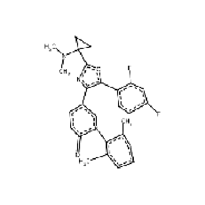 Cc1cccc(C)c1-n1cc(-c2nc(C3(N(C)C)CC3)oc2-c2ccc(F)cc2F)ccc1=O